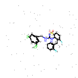 C[C@H](c1ccccc1F)c1c(F)ccc2c1NC(NCc1cc(Cl)cc(Cl)c1)=NS2(=O)=O